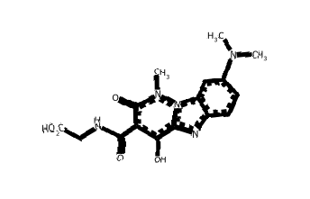 CN(C)c1ccc2nc3c(O)c(C(=O)NCC(=O)O)c(=O)n(C)n3c2c1